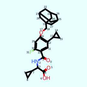 O=C(NC(C(=O)O)C1CC1)c1cc(C2CC2)c(OCC23CC4CC(CC(C4)C2)C3)cc1F